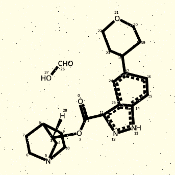 O=C(O[C@@H]1CN2CCC1CC2)c1n[nH]c2ccc(C3CCOCC3)cc12.O=CO